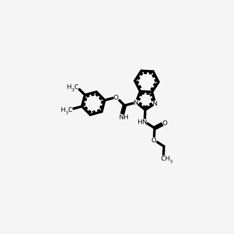 CCOC(=O)Nc1nc2ccccc2n1C(=N)Oc1ccc(C)c(C)c1